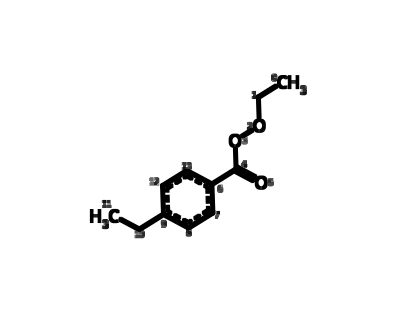 CCOOC(=O)c1ccc(CC)cc1